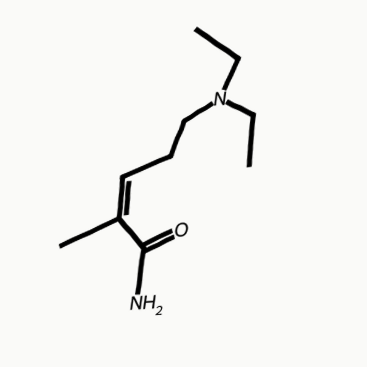 CCN(CC)CCC=C(C)C(N)=O